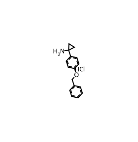 Cl.NC1(c2ccc(OCc3ccccc3)cc2)CC1